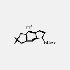 CCCCCC[C]1C=Cc2cc3c(cc21)CC(C)(C)C3.[Hf]